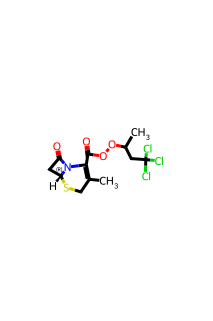 CC1=C(C(=O)OOC(C)CC(Cl)(Cl)Cl)N2C(=O)C[C@H]2SC1